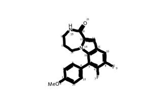 COc1ccc(-c2c(F)c(F)cc3cc4n(c23)CCCNC4=O)cc1